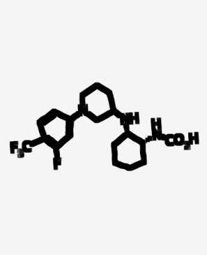 O=C(O)N[C@@H]1CCCC[C@H]1NC1CCCN(c2ccc(C(F)(F)F)c(F)c2)C1